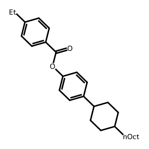 CCCCCCCCC1CCC(c2ccc(OC(=O)c3ccc(CC)cc3)cc2)CC1